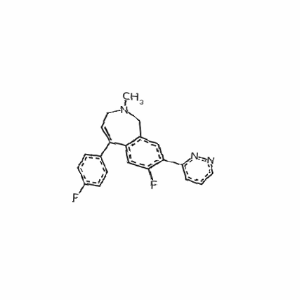 CN1CC=C(c2ccc(F)cc2)c2cc(F)c(-c3cccnn3)cc2C1